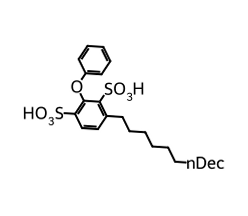 CCCCCCCCCCCCCCCCc1ccc(S(=O)(=O)O)c(Oc2ccccc2)c1S(=O)(=O)O